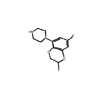 Fc1cc2c(c(N3CCNCC3)c1)OCC(F)O2